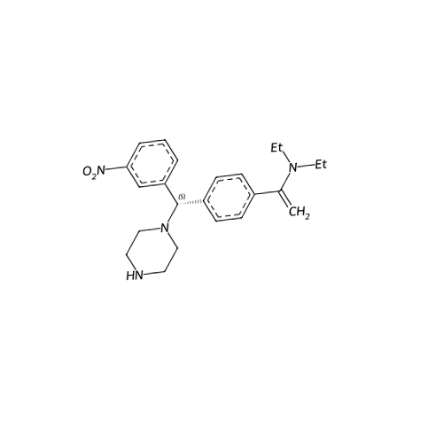 C=C(c1ccc([C@@H](c2cccc([N+](=O)[O-])c2)N2CCNCC2)cc1)N(CC)CC